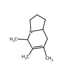 CC1=C(C)C(C)N2CCCC2C1